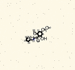 COCOc1cc(O)c(C(=O)/C=C/c2ccc[nH]2)c(OC)c1